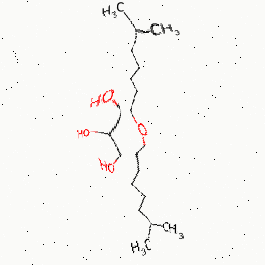 CC(C)CCCCCOCCCCCC(C)C.OCC(O)CO